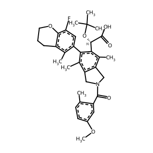 COc1ccc(C)c(C(=O)N2Cc3c(C)c(-c4cc(F)c5c(c4C)CCCO5)c([C@H](OC(C)(C)C)C(=O)O)c(C)c3C2)c1